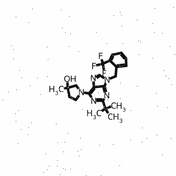 CC1(O)CCN(c2nc(C(C)(C)C)nc3c2ncn3Cc2ccccc2C(F)(F)F)C1